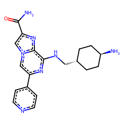 NC(=O)c1cn2cc(-c3ccncc3)nc(NC[C@H]3CC[C@H](N)CC3)c2n1